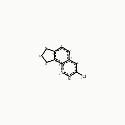 Clc1cc2ccc3c(c2nn1)CCC3